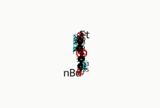 CCCCOc1ccc(C2CCC(C(=O)Oc3ccc(-c4ccc(OCC)c(F)c4F)cc3F)CC2)c(F)c1F